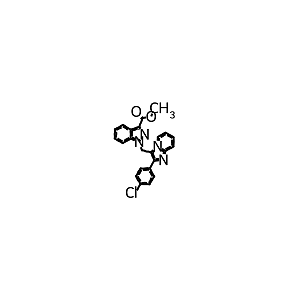 COC(=O)c1nn(Cc2c(-c3ccc(Cl)cc3)nc3ccccn23)c2ccccc12